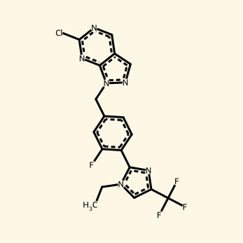 CCn1cc(C(F)(F)F)nc1-c1ccc(Cn2ncc3cnc(Cl)nc32)cc1F